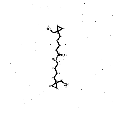 O=C(CCCCC1(CO)CC1)OCCCCC1(CO)CC1